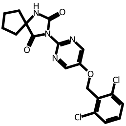 O=C1NC2(CCCC2)C(=O)N1c1ncc(OCc2c(Cl)cccc2Cl)cn1